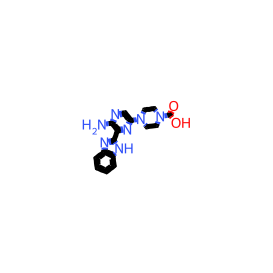 Nc1ncc(N2CCN(C(=O)O)CC2)nc1-c1nc2ccccc2[nH]1